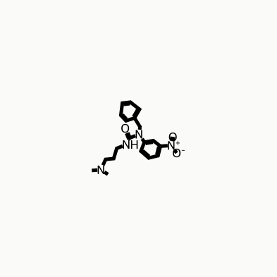 CN(C)CCCNC(=O)N(Cc1ccccc1)c1cccc([N+](=O)[O-])c1